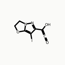 O=C=C(O)c1nn2c(c1I)OCC2